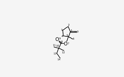 C=C1CCCC1(C)OC(=O)C(C)(C)CC